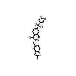 Cc1cc2nc(Cn3ncc4cc(S(=O)(=O)c5cn[nH]c5)ccc4c3=O)ccc2o1